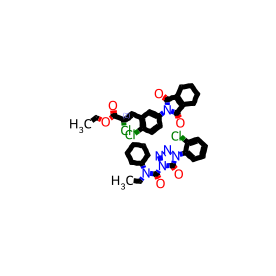 CCN(C(=O)n1nnn(-c2ccccc2Cl)c1=O)C1CCCCC1.CCOC(=O)/C(Cl)=C/c1cc(N2C(=O)C3=C(CCCC3)C2=O)ccc1Cl